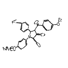 CCOc1ccc(C(=O)C2C(=O)C(=O)N(c3ccc(OC)cc3)C2c2ccc(F)cc2)cc1